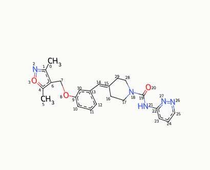 Cc1noc(C)c1COc1cccc(C=C2CCN(C(=O)Nc3cccnn3)CC2)c1